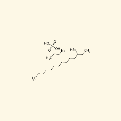 CCCCCCCCCCCC([SeH])CC.CC[CH2][Na].O=S(=O)(O)O